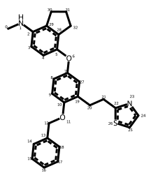 CNc1ccc(Oc2ccc(OCc3ccccc3)c(CCc3nccs3)c2)c2c1CCC2